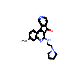 COc1ccc2c3c(c(NCCN4CCCC4)nc2c1)C(=O)c1ccncc1-3